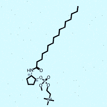 CCCCCCCCCCCCCCCC(=O)N[C@H]1CCC[C@H]1OP(=O)(OC)OCC[N+](C)(C)C